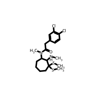 CNC1C(N(C)C(=O)Cc2ccc(Cl)c(Cl)c2)CCCCC1(SC)SC